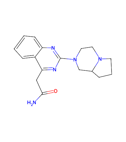 NC(=O)Cc1nc(N2CCN3CCCC3C2)nc2ccccc12